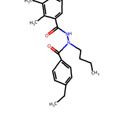 CCCCN(NC(=O)c1cccc(C)c1C)C(=O)c1ccc(CC)cc1